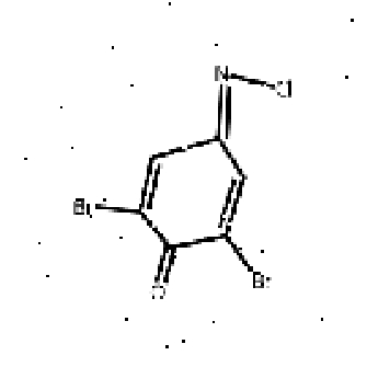 O=C1C(Br)=CC(=NCl)C=C1Br